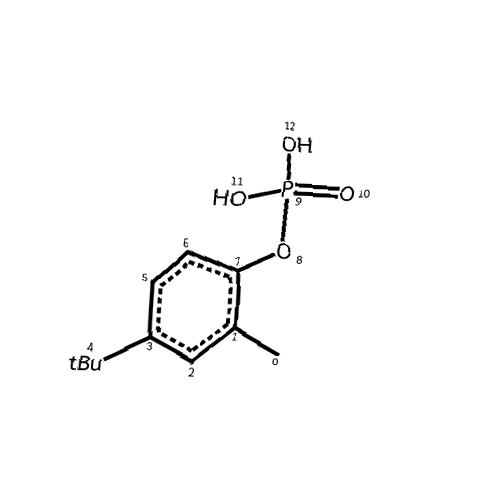 Cc1cc(C(C)(C)C)ccc1OP(=O)(O)O